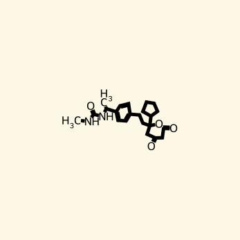 CNC(=O)NC(C)c1ccc(CCC2(C3CCCC3)CC(=O)CC(=O)O2)cc1